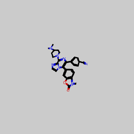 CN(C)C1CCN(c2nc(-c3ccc(C#N)cc3)c(-c3ccc4c(c3)oc(=O)n4C)n3ccnc23)CC1